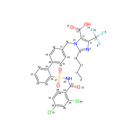 CCCCc1nc(C(F)(F)F)c(C(=O)O)n1Cc1ccc(-c2ccccc2S(=O)(=O)NC(=O)c2ccc(Cl)cc2Cl)cc1